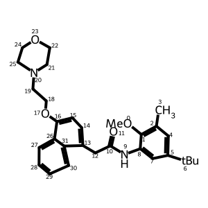 COc1c(C)cc(C(C)(C)C)cc1NC(=O)Cc1ccc(OCCN2CCOCC2)c2ccccc12